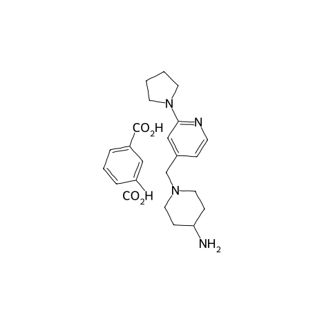 NC1CCN(Cc2ccnc(N3CCCC3)c2)CC1.O=C(O)c1cccc(C(=O)O)c1